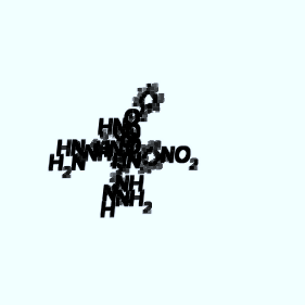 N=C(N)NCCC[C@H](NC(=O)OCc1ccccc1)C(=O)N[C@@H](CCCNC(=N)N)C(=O)Nc1ccc([N+](=O)[O-])cc1